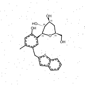 Cc1cc(O)c([C@@H]2O[C@H](CO)C[C@H](O)[C@H]2O)cc1Cc1cc2ccccc2s1